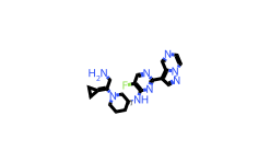 NCC(=C1CC1)N1CCC[C@@H](Nc2nc(-c3cnn4ccncc34)ncc2F)C1